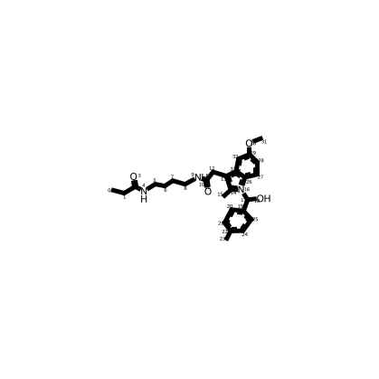 CCC(=O)NCCCCNC(=O)Cc1c(C)n(C(O)c2ccc(C)cc2)c2ccc(OC)cc12